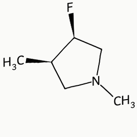 C[C@@H]1CN(C)C[C@@H]1F